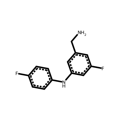 NCc1cc(F)cc(Nc2ccc(F)cc2)c1